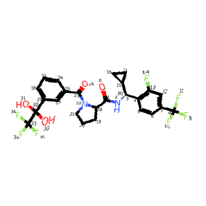 O=C(N[C@@H](c1ccc(C(F)(F)F)cc1F)C1CC1)C1CCCN1C(=O)c1cccc(C(O)(O)C(F)(F)F)c1